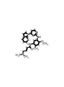 COc1cc(C)c(NC(=O)/C=C/CN(C)C)cc1Nc1nccc(-n2ccc3cccnc32)n1